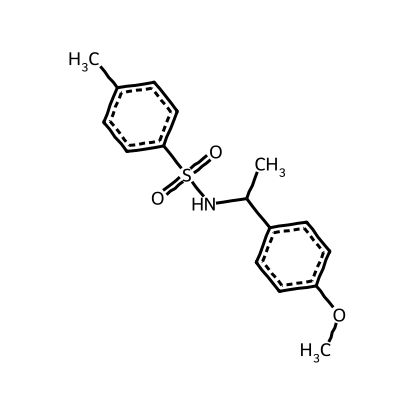 COc1ccc(C(C)NS(=O)(=O)c2ccc(C)cc2)cc1